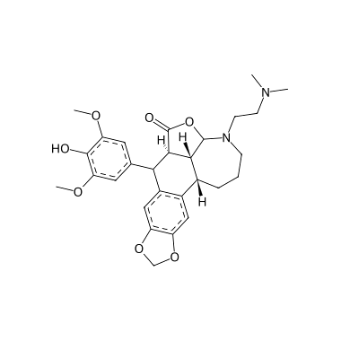 COc1cc(C2c3cc4c(cc3[C@H]3CCCN(CCN(C)C)C5OC(=O)[C@H]2[C@H]53)OCO4)cc(OC)c1O